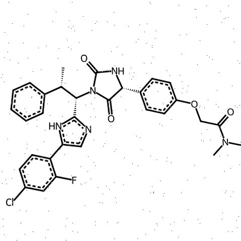 C[C@@H](c1ccccc1)[C@@H](c1ncc(-c2ccc(Cl)cc2F)[nH]1)N1C(=O)N[C@H](c2ccc(OCC(=O)N(C)C)cc2)C1=O